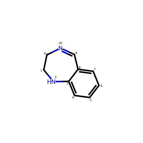 [C]1CNc2ccccc2C=N1